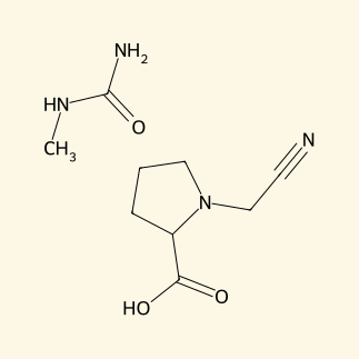 CNC(N)=O.N#CCN1CCCC1C(=O)O